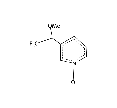 COC(c1ccc[n+]([O-])c1)C(F)(F)F